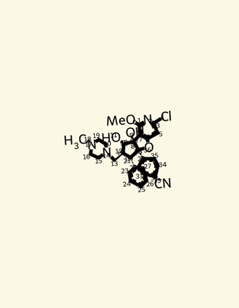 COc1nc(Cl)cc2c1[C@]1(O)[C@H](O)[C@H](CN3CCN(C)CC3)[C@@H](c3ccccc3)[C@]1(c1ccc(C#N)cc1)O2